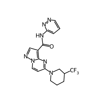 O=C(Nc1cccnn1)c1cnn2ccc(N3CCCC(C(F)(F)F)C3)nc12